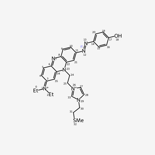 CC[N+](CC)=c1ccc2nc3ccc(/N=N/c4ccc(O)cc4)cc3n(CC[n+]3ccn(CCSC)c3)c-2c1